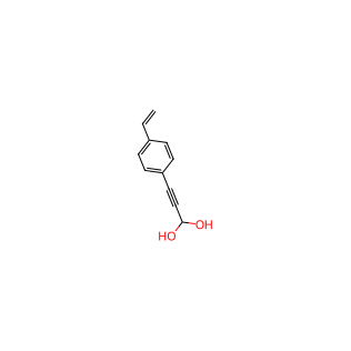 C=Cc1ccc(C#CC(O)O)cc1